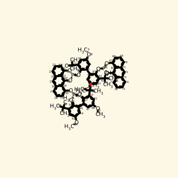 COc1cc(-c2cc(OC)cc(C(C)(C)C)c2OP2Oc3cccc4cc5cccc(Op6oc7c(C(C)(C)C)cc(OC)cc7c7cc(OC)cc(C(C)(C)C)c7o6)c5c(c34)O2)c(OP2Oc3cccc4cc5ccccc5c(c34)O2)c(C(C)(C)C)c1